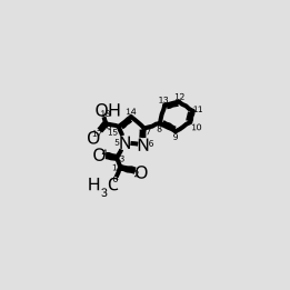 CC(=O)C(=O)n1nc(-c2ccccc2)cc1C(=O)O